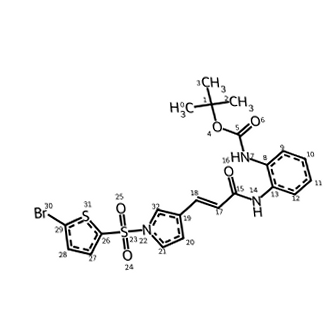 CC(C)(C)OC(=O)Nc1ccccc1NC(=O)C=Cc1ccn(S(=O)(=O)c2ccc(Br)s2)c1